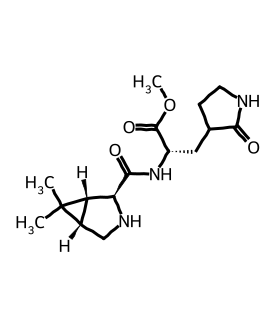 COC(=O)[C@H](CC1CCNC1=O)NC(=O)[C@H]1NC[C@H]2[C@@H]1C2(C)C